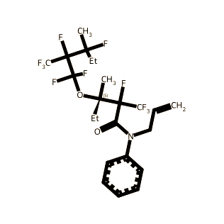 C=CCN(C(=O)C(F)(C(F)(F)F)[C@](C)(CC)OC(F)(F)C(F)(C(F)(F)F)C(C)(F)CC)c1ccccc1